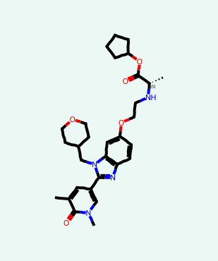 Cc1cc(-c2nc3ccc(OCCN[C@@H](C)C(=O)OC4CCCC4)cc3n2CC2CCOCC2)cn(C)c1=O